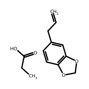 C=CCc1ccc2c(c1)OCO2.CCC(=O)O